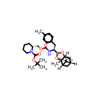 Cc1ccc(C[C@H](NC(=O)OC[C@H]2CCCCN2C(=O)OC(C)(C)C)B2O[C@@H]3C[C@@H]4C[C@@H](C4(C)C)[C@]3(C)O2)cc1